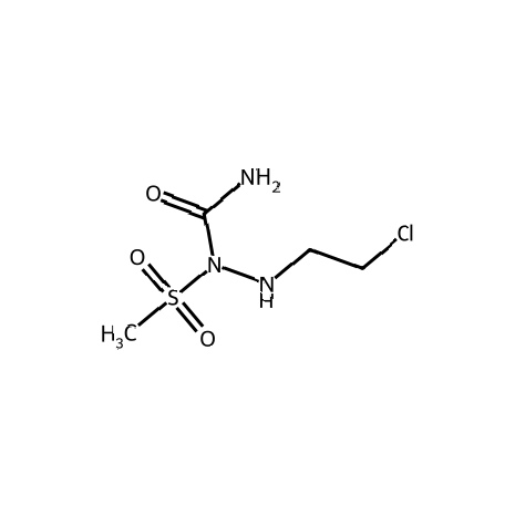 CS(=O)(=O)N(NCCCl)C(N)=O